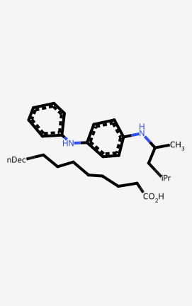 CC(C)CC(C)Nc1ccc(Nc2ccccc2)cc1.CCCCCCCCCCCCCCCCCC(=O)O